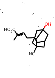 CC(=CCC12CC3CC(O)(CC(C#N)(C3)C1)C2)C(=O)O